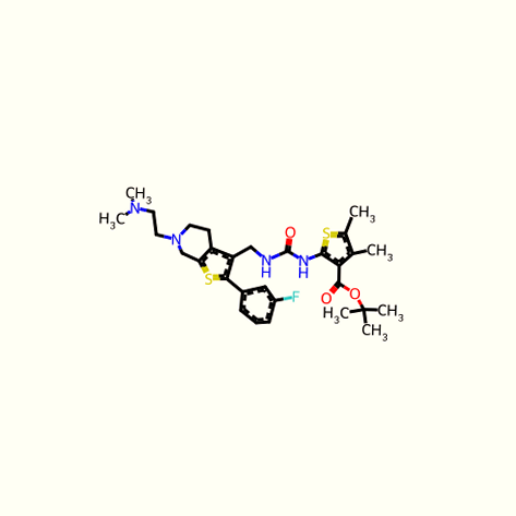 Cc1sc(NC(=O)NCc2c(-c3cccc(F)c3)sc3c2CCN(CCN(C)C)C3)c(C(=O)OC(C)(C)C)c1C